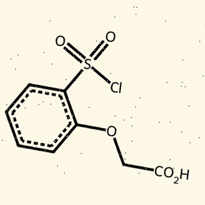 O=C(O)COc1ccccc1S(=O)(=O)Cl